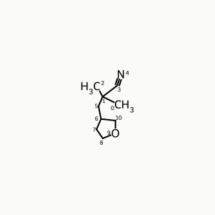 CC(C)(C#N)CC1CCOC1